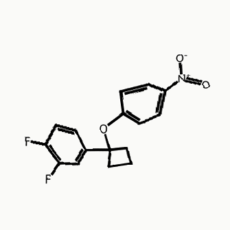 O=[N+]([O-])c1ccc(OC2(c3ccc(F)c(F)c3)CCC2)cc1